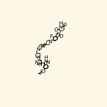 CC1(Oc2ccc3n[nH]c(-c4cc(N5CCC(CN6CCN(CC7(F)CCN(c8ccc9c(c8F)CN(C8CCC(=O)NC8=O)C9=O)CC7)CC6)CC5)ncn4)c3c2)CC1